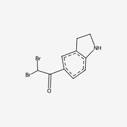 O=C(c1ccc2c(c1)CCN2)C(Br)Br